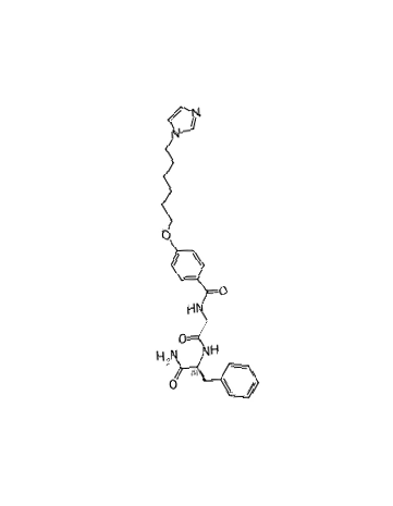 NC(=O)[C@H](Cc1ccccc1)NC(=O)CNC(=O)c1ccc(OCCCCCCn2ccnc2)cc1